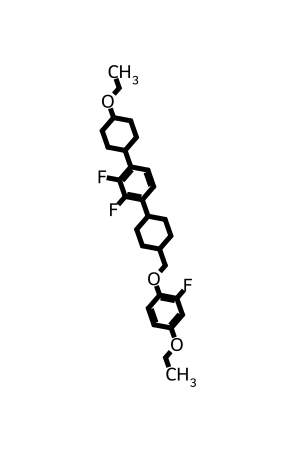 CCOc1ccc(OCC2CCC(c3ccc(C4CCC(OCC)CC4)c(F)c3F)CC2)c(F)c1